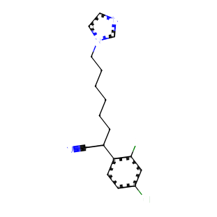 N#CC(CCCCCCn1ccnc1)c1ccc(Cl)cc1Cl